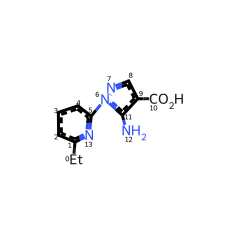 CCc1cccc(-n2ncc(C(=O)O)c2N)n1